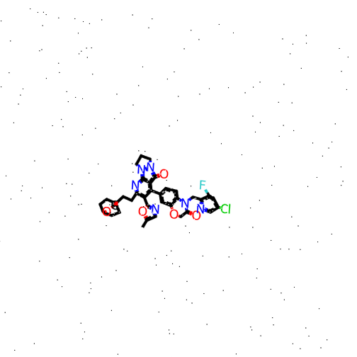 Cc1cnc(-c2c(CCC34CCC(CC3)OC4)nc3c(c2-c2ccc4c(c2)OCC(=O)N4Cc2ncc(Cl)cc2F)c(=O)n2n3CCC2)o1